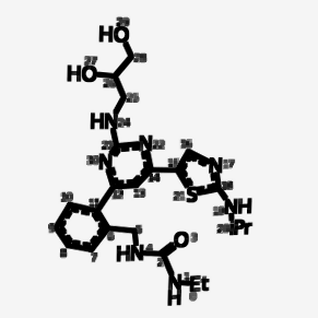 CCNC(=O)NCc1ccccc1-c1cc(-c2cnc(NC(C)C)s2)nc(NCC(O)CO)n1